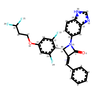 O=C1/C(=C\c2ccccc2)[C@H](c2c(F)cc(OCCC(F)F)cc2F)N1c1ccc2[nH]cnc2c1